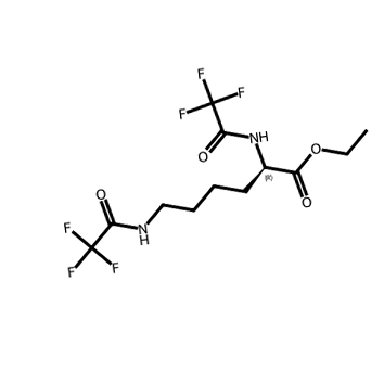 CCOC(=O)[C@@H](CCCCNC(=O)C(F)(F)F)NC(=O)C(F)(F)F